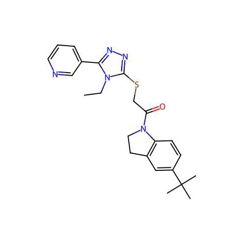 CCn1c(SCC(=O)N2CCc3cc(C(C)(C)C)ccc32)nnc1-c1cccnc1